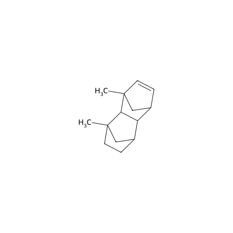 CC12C=CC(C1)C1C3CCC(C)(C3)C12